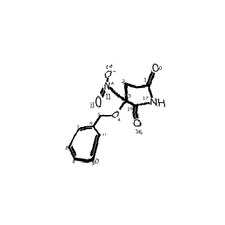 O=C1CC(OCc2ccccc2)([N+](=O)[O-])C(=O)N1